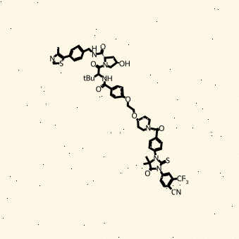 Cc1ncsc1-c1ccc(CNC(=O)[C@@H]2C[C@@H](O)CN2C(=O)C(NC(=O)c2ccc(OCCOC3CCN(C(=O)c4ccc(N5C(=S)N(c6ccc(C#N)c(C(F)(F)F)c6)C(=O)C5(C)C)cc4)CC3)cc2)C(C)(C)C)cc1